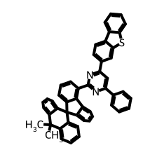 CC1(C)c2ccccc2C2(c3ccccc3-c3c(-c4nc(-c5ccccc5)cc(-c5ccc6c(c5)sc5ccccc56)n4)cccc32)c2ccccc21